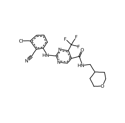 N#Cc1c(Cl)cccc1Nc1ncc(C(=O)NCC2CCOCC2)c(C(F)(F)F)n1